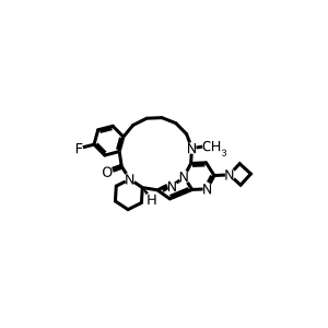 CN1CCCCCc2ccc(F)cc2C(=O)N2CCCC[C@H]2c2cc3nc(N4CCC4)cc1n3n2